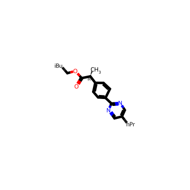 CCCc1cnc(-c2ccc([C@@H](C)C(=O)OCC(C)CC)cc2)nc1